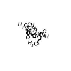 CSCCC1NC(=O)C=C1N1CCC(N2C(=O)C=C(OC(C)(C)C)C2C)C1